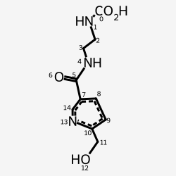 O=C(O)NCCNC(=O)c1ccc(CO)nc1